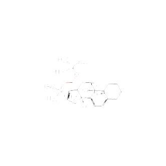 CC(C)(C)[Si](C)(C)OC(O[Si](C)(C)C(C)(C)C)[C@@]12C=CC[C@H]1C1=CC=C3CCCC[C@]3(C)[C@H]1CC2